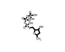 CC1CC(O)C(CSP(=O)(O)OP(=O)(O)OP(=O)(O)O)O1